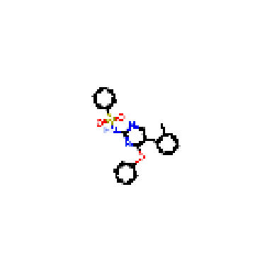 Cc1ccccc1-c1cnc(NS(=O)(=O)c2ccccc2)nc1Oc1ccccc1